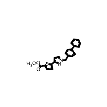 COC(=O)c1ccc(-c2ccn(Cc3ccc(-c4ccccc4)cc3)n2)s1